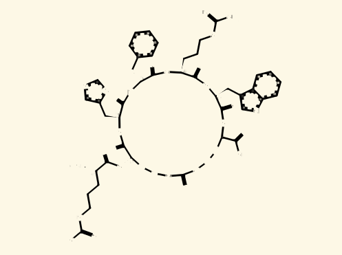 CC(=O)N[C@@H](CCCNC(=N)N)C(=O)N[C@H]1CCNC(=O)CCCC(C(N)=O)NC(=O)[C@H](Cc2c[nH]c3ccccc23)NC(=O)[C@H](CCCNC(=N)N)NC(=O)[C@@H](Cc2ccccc2)NC(=O)[C@H](Cc2c[nH]cn2)NC1=O